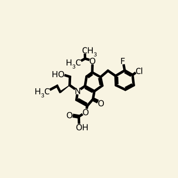 CCC[C@@H](CO)n1cc(OC(=O)O)c(=O)c2cc(Cc3cccc(Cl)c3F)c(OC(C)C)cc21